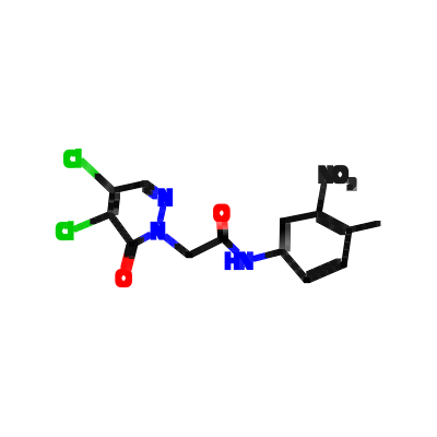 Cc1ccc(NC(=O)Cn2ncc(Cl)c(Cl)c2=O)cc1[N+](=O)[O-]